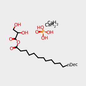 CCCCCCCCCCCCCCCCCCCCCC(=O)OC(=O)C(O)CO.O=P(O)(O)O.[CaH2].[CaH2]